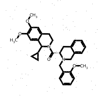 COc1ccccc1CN1Cc2ccccc2C[C@H]1C(=O)N1CCc2cc(OC)c(OC)cc2C1C1CC1